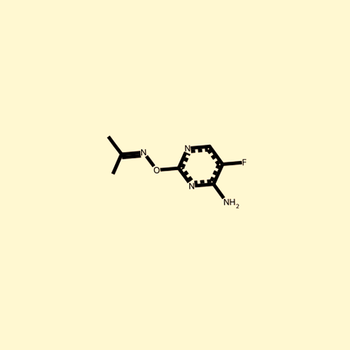 CC(C)=NOc1ncc(F)c(N)n1